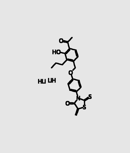 C=C1SC(=S)N(c2ccc(OCc3ccc(C(C)=O)c(O)c3CCC)cc2)C1=O.[LiH].[LiH]